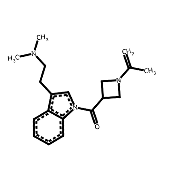 C=C(C)N1CC(C(=O)n2cc(CCN(C)C)c3ccccc32)C1